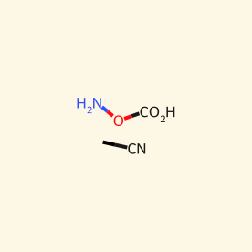 CC#N.NOC(=O)O